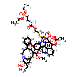 CCOP(=O)(CCNC(=O)OCCSCN1C2=CC(OC)C([C@@]3(C(=O)OC)C[C@H]4CN(CCC5c6ccccc6NC53)C[C@](O)(CC)C4)C=C2[C@@]23CCN4CC=C[C@@](CC)([C@@H](OC(C)=O)[C@](O)(C(=O)OC)[C@H]12)[C@H]43)OCC